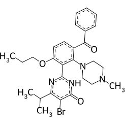 CCCOc1ccc(C(=O)c2ccccc2)c(N2CCN(C)CC2)c1-c1nc(C(C)C)c(Br)c(=O)[nH]1